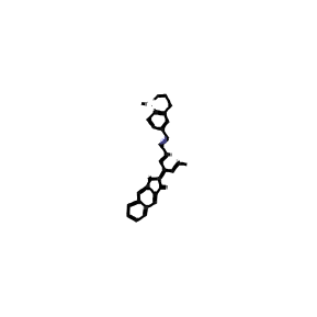 CC1=CC(=C2C(=O)c3cc4ccccc4cc3C2=O)C=C(/C=C/c2ccc3c(c2)CCCN3C)O1